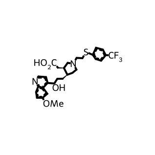 COc1ccc2nccc(C(O)CC[C@@H]3CCN(CCSc4ccc(C(F)(F)F)cc4)C[C@@H]3CC(=O)O)c2c1